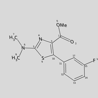 COC(=O)c1nc(N(C)C)sc1-c1cccc(F)c1